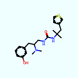 CN(C)C(CNC(=O)NC(C)(C)Cc1ccsc1)Cc1cccc(O)c1